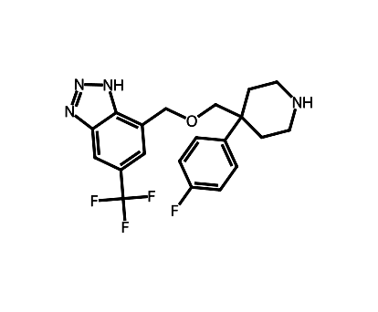 Fc1ccc(C2(COCc3cc(C(F)(F)F)cc4nn[nH]c34)CCNCC2)cc1